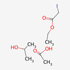 CC(=O)O.CC(C)O.CCOC(=O)CI